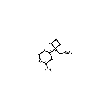 CNCC1(N2CCO[C@H](C)C2)CCC1